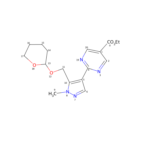 CCOC(=O)c1cnc(-c2cnn(C)c2COC2CCCCO2)nc1